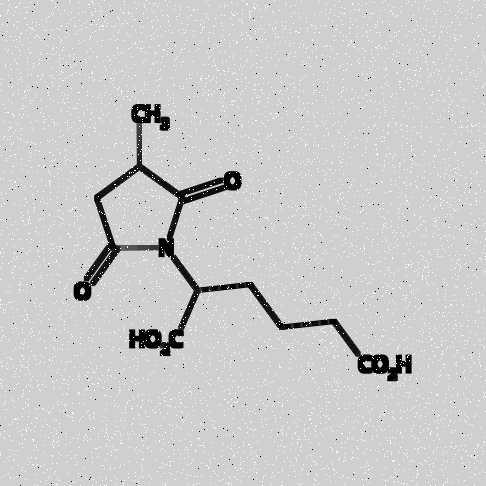 CC1CC(=O)N(C(CCCC(=O)O)C(=O)O)C1=O